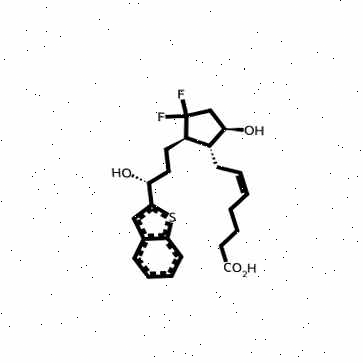 O=C(O)CCC/C=C\C[C@H]1[C@H](O)CC(F)(F)[C@@H]1CC[C@@H](O)c1cc2ccccc2s1